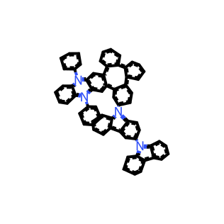 c1ccc(-n2c3ccccc3n(-c3ccccc3)c3cc4c5cc(-n6c7ccccc7c7cc(-n8c9ccccc9c9ccccc98)ccc76)ccc5c5ccccc5c5ccccc5c4cc32)cc1